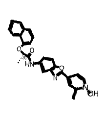 CC1C=C(c2nc3cc(NC(=O)[C@H](C)Oc4cccc5ccccc45)ccc3o2)C=CN1O